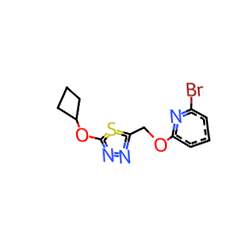 Brc1cccc(OCc2nnc(OC3CCC3)s2)n1